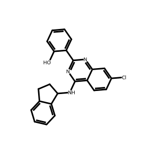 Oc1ccccc1-c1nc(NC2CCc3ccccc32)c2ccc(Cl)cc2n1